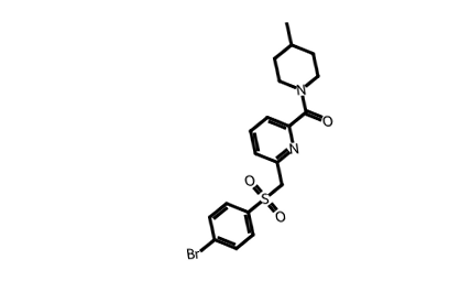 CC1CCN(C(=O)c2cccc(CS(=O)(=O)c3ccc(Br)cc3)n2)CC1